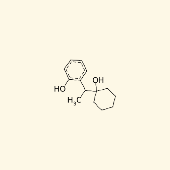 CC(c1ccccc1O)C1(O)CCCCC1